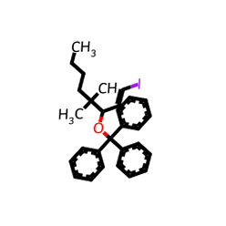 CCCCC(C)(C)C(C=CI)OC(c1ccccc1)(c1ccccc1)c1ccccc1